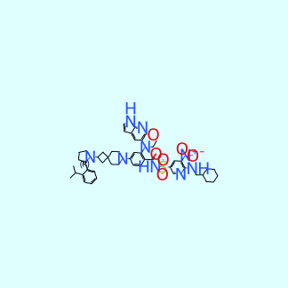 CC(C)c1ccccc1[C@H]1CCCN1C1CC2(CCN(c3ccc(C(=O)NS(=O)(=O)c4cnc(NCC5CCCCC5)c([N+](=O)[O-])c4)c(N4CCOc5nc6[nH]ccc6cc54)c3)CC2)C1